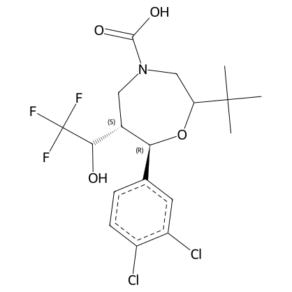 CC(C)(C)C1CN(C(=O)O)C[C@@H](C(O)C(F)(F)F)[C@H](c2ccc(Cl)c(Cl)c2)O1